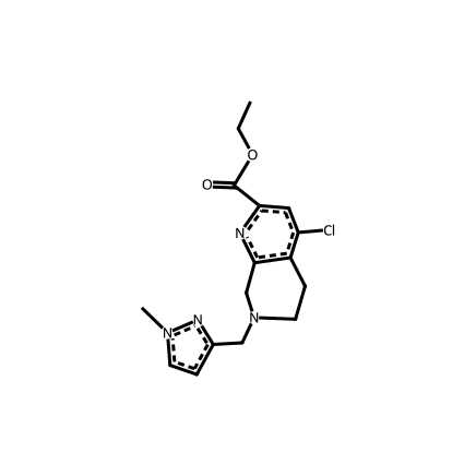 CCOC(=O)c1cc(Cl)c2c(n1)CN(Cc1ccn(C)n1)CC2